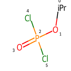 CC(C)OP(=O)(Cl)Cl